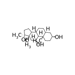 C[C@]12CC[C@H](O)C[C@@H]1CC[C@@H]1[C@@H]2[C@@H](O)C[C@@]2(C)[C@H]1CC[C@]2(C)O